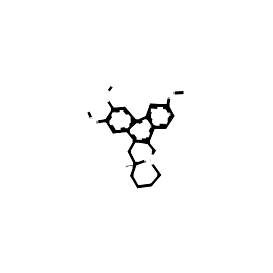 COc1ccc2c3c(c4cc(OC)c(OC)cc4c2c1)C[C@H]1CCCCN1C3